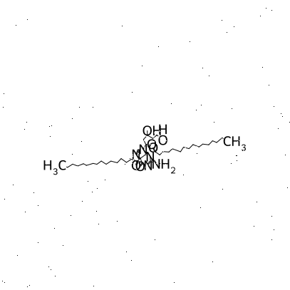 CCCCCCCCCCCCCCCC(=O)N1C(N)=NC(=O)C2(C(=O)CCCCCCCCCCCCCCC)N=CN([C@H]3CC(O)[C@@H](CO)O3)C12